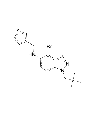 CC(C)(C)Cn1nnc2c(Br)c(NCc3ccsc3)ccc21